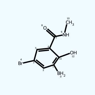 Bc1cc(Br)cc(C(=O)NC)c1O